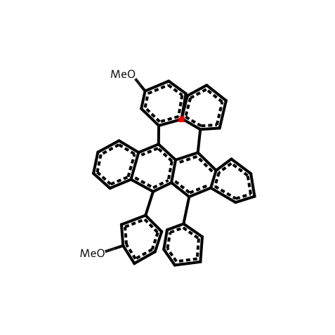 COc1cccc(-c2c3ccccc3c(-c3cccc(OC)c3)c3c(-c4ccccc4)c4ccccc4c(-c4ccccc4)c23)c1